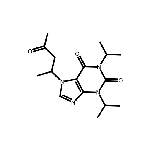 CC(=O)CC(C)n1cnc2c1c(=O)n(C(C)C)c(=O)n2C(C)C